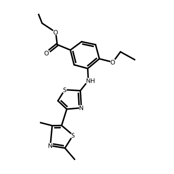 CCOC(=O)c1ccc(OCC)c(Nc2nc(-c3sc(C)nc3C)cs2)c1